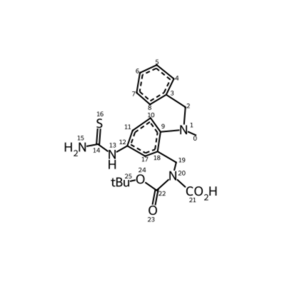 CN(Cc1ccccc1)c1ccc(NC(N)=S)cc1CN(C(=O)O)C(=O)OC(C)(C)C